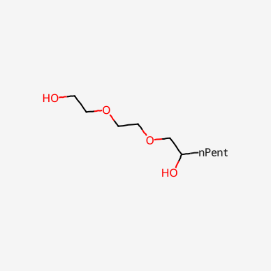 CCCCCC(O)COCCOCCO